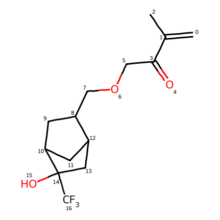 C=C(C)C(=O)COCC1CC2CC1CC2(O)C(F)(F)F